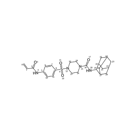 C=CC(=O)Nc1ccc(S(=O)(=O)N2CCN(C(=O)NC3C4CC5CC(C4)CC3C5)CC2)cc1